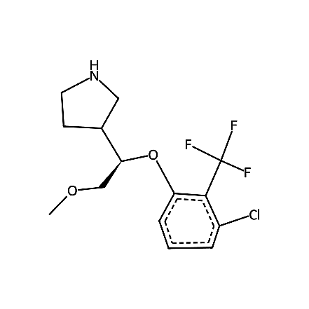 COC[C@H](Oc1cccc(Cl)c1C(F)(F)F)C1CCNC1